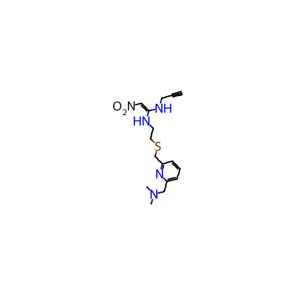 C#CCN/C(=C/[N+](=O)[O-])NCCSCc1cccc(CN(C)C)n1